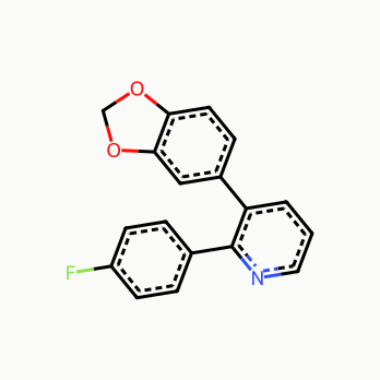 Fc1ccc(-c2ncccc2-c2ccc3c(c2)OCO3)cc1